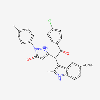 COc1ccc2[nH]c(C)c(C(C(=O)c3ccc(Cl)cc3)c3cc(=O)n(-c4ccc(C)cc4)[nH]3)c2c1